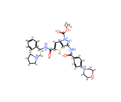 COC(=O)n1nc(NC(=O)c2ccc(N3CCOCC3)cc2)c2sc(C(=O)N[C@H](CN3CCCC3)c3ccccc3)cc21